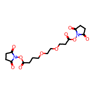 O=C(CCCOCCOCCC(=O)ON1C(=O)CCC1=O)ON1C(=O)CCC1=O